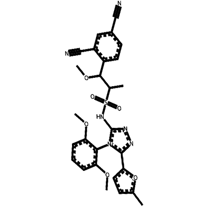 COc1cccc(OC)c1-n1c(NS(=O)(=O)C(C)C(OC)c2ccc(C#N)cc2C#N)nnc1-c1ccc(C)o1